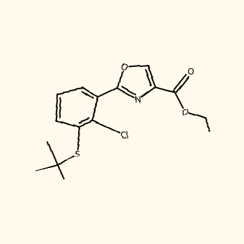 CCOC(=O)c1coc(-c2cccc(SC(C)(C)C)c2Cl)n1